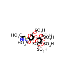 N[C@@H](CS[C@@H]1O[C@H](COS(=O)(=O)O)[C@@H](O[C@H]2O[C@H](COS(=O)(=O)O)[C@@H](OS(=O)(=O)O)[C@H](OS(=O)(=O)O)[C@H]2OS(=O)(=O)O)[C@H](OS(=O)(=O)O)[C@H]1OS(=O)(=O)O)C(=O)O